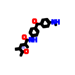 C=C(/C=C(\C)C(=O)Nc1ccc(C(=O)c2ccc(NC)cc2)cc1)C(C)=O